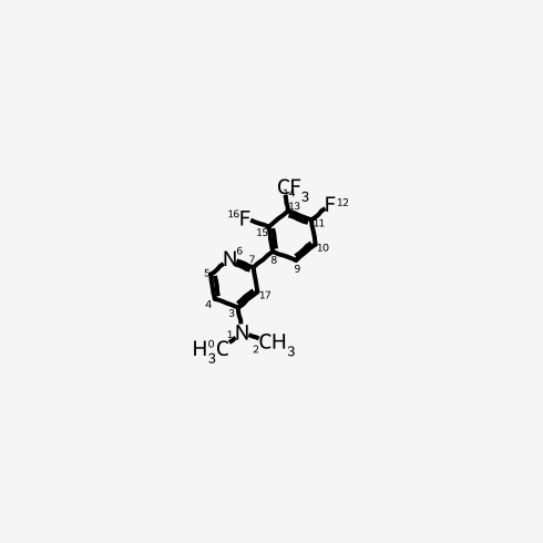 CN(C)c1ccnc(-c2ccc(F)c(C(F)(F)F)c2F)c1